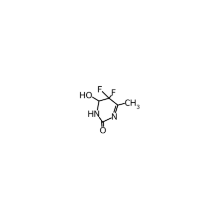 CC1=NC(=O)NC(O)C1(F)F